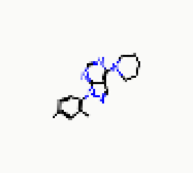 Cc1ccc(-n2ncc3c(N4CCCCC4)ncnc32)c(C)c1